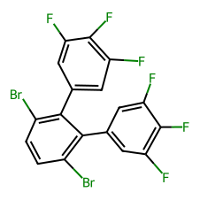 Fc1cc(-c2c(Br)ccc(Br)c2-c2cc(F)c(F)c(F)c2)cc(F)c1F